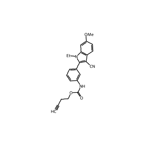 C#CCCOC(=O)Nc1cccc(-c2c(C#N)c3ccc(OC)cc3n2CC)c1